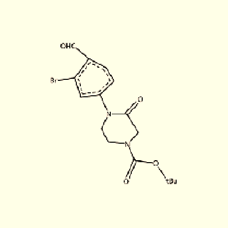 CC(C)(C)OC(=O)N1CCN(c2ccc(C=O)c(Br)c2)C(=O)C1